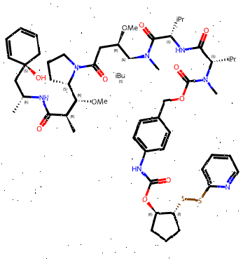 CC[C@H](C)[C@@H]([C@@H](CC(=O)N1CCC[C@H]1[C@H](OC)[C@@H](C)C(=O)N[C@H](C)C[C@]1(O)C=CC=CC1)OC)N(C)C(=O)[C@@H](NC(=O)[C@H](C(C)C)N(C)C(=O)OCc1ccc(NC(=O)O[C@@H]2CCC[C@H]2SSc2ccccn2)cc1)C(C)C